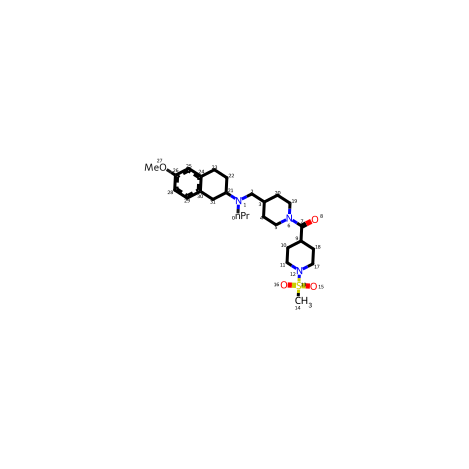 CCCN(CC1CCN(C(=O)C2CCN(S(C)(=O)=O)CC2)CC1)C1CCc2cc(OC)ccc2C1